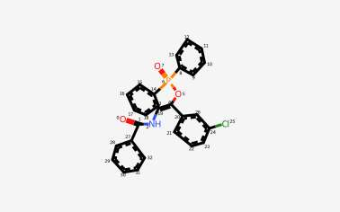 O=C(NC=C(OP(=O)(c1ccccc1)c1ccccc1)c1cccc(Cl)c1)c1ccccc1